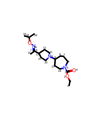 CCOC(=O)N1CCCC(N2CCC(/C(C)=N/OC(C)C)CC2)CC1